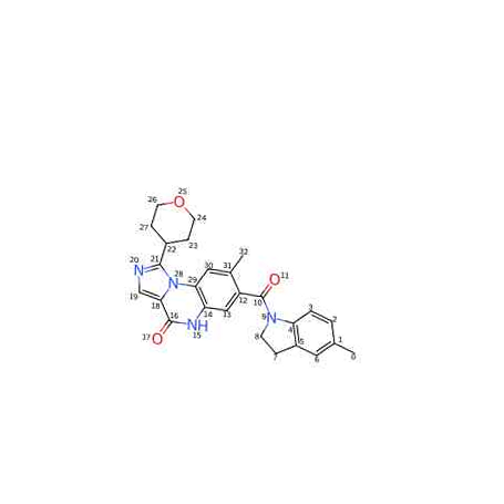 Cc1ccc2c(c1)CCN2C(=O)c1cc2[nH]c(=O)c3cnc(C4CCOCC4)n3c2cc1C